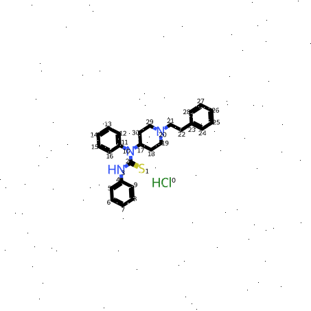 Cl.S=C(Nc1ccccc1)N(c1ccccc1)C1CCN(CCc2ccccc2)CC1